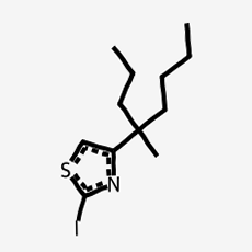 CCCCC(C)(CCC)c1csc(I)n1